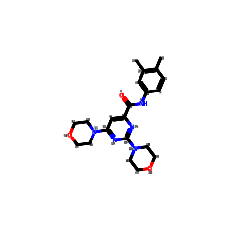 Cc1ccc(NC(=O)c2cc(N3CCOCC3)nc(N3CCOCC3)n2)cc1C